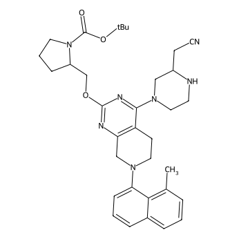 Cc1cccc2cccc(N3CCc4c(nc(OCC5CCCN5C(=O)OC(C)(C)C)nc4N4CCNC(CC#N)C4)C3)c12